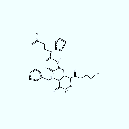 CC(C)CCOC(=O)N1O[C@H](C)C(=O)N2C1CN([C@@H](Cc1ccccc1)C(=O)NCCC(N)=O)C(=O)[C@@H]2Cc1ccccc1